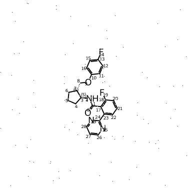 O=C(N[C@H]1CCC[C@@H]1COc1ccc(F)cc1)c1c(F)cccc1-c1ncccn1